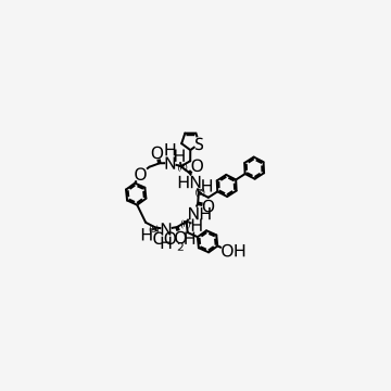 O=C1COc2ccc(cc2)C[C@@H](C(=O)O)NC(=O)[C@@H](Cc2ccc(O)cc2)NC(=O)[C@H](Cc2ccc(-c3ccccc3)cc2)NC(=O)[C@@H](CC2CC=CS2)N1